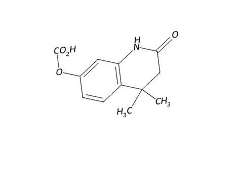 CC1(C)CC(=O)Nc2cc(OC(=O)O)ccc21